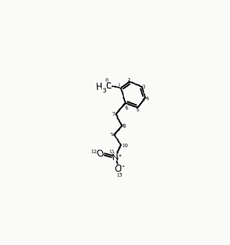 Cc1ccccc1CCCC[N+](=O)[O-]